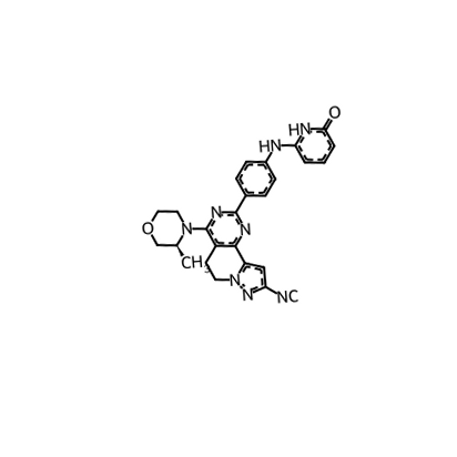 [C-]#[N+]c1cc2n(n1)CCc1c-2nc(-c2ccc(Nc3cccc(=O)[nH]3)cc2)nc1N1CCOC[C@@H]1C